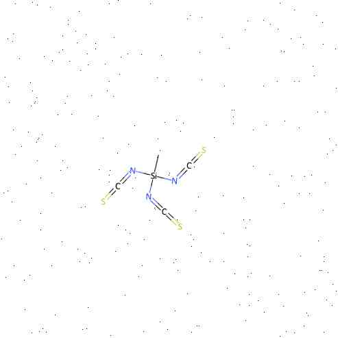 C[Si](N=C=S)(N=C=S)N=C=S